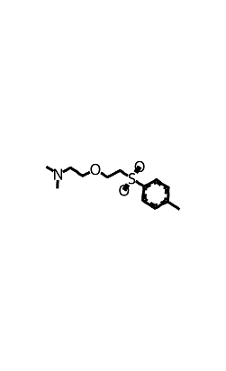 Cc1ccc(S(=O)(=O)CCOCCN(C)C)cc1